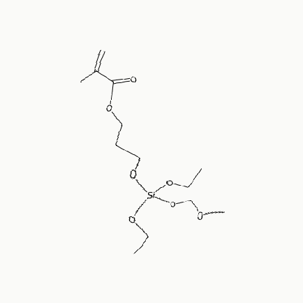 C=C(C)C(=O)OCCCO[Si](OCC)(OCC)OCOC